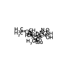 C=C(C)[C@@H]1CC[C@]2(C)S[P@@](=S)(OC[C@H]3O[C@@H](n4cnc5c(=O)[nH]c(O)nc54)[C@H](F)C3O[Si](C)(C)C(C)(C)C)O[C@H]2C1